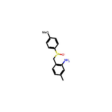 COc1ccc([S+]([O-])Cc2ccc(C)cc2N)cc1